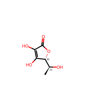 C[C@H](O)[C@H]1OC(=O)C(O)=C1O